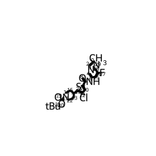 Cc1cn2cc(NC(=O)c3cc(Cl)c(C4CCN(C(=O)OC(C)(C)C)CC4)s3)cc(F)c2n1